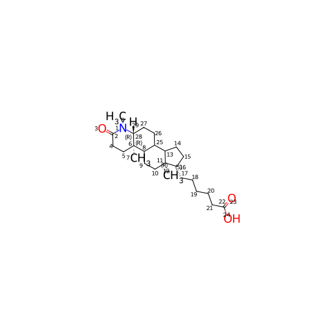 CN1C(=O)CC[C@]2(C)C3CC[C@@]4(C)C(CC[C@@H]4CCCCCC(=O)O)C3CC[C@@H]12